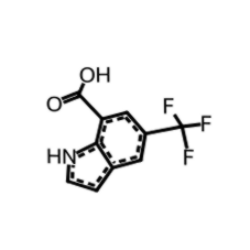 O=C(O)c1cc(C(F)(F)F)cc2cc[nH]c12